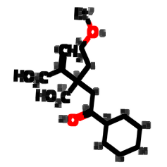 C=C(C(=O)O)C(CCOCC)(CC(=O)C1CCCCC1)C(=O)O